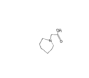 O=C(O)CN1CCCCCC1